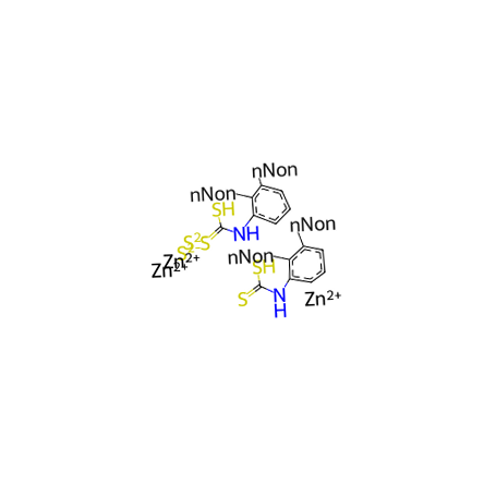 CCCCCCCCCc1cccc(NC(=S)S)c1CCCCCCCCC.CCCCCCCCCc1cccc(NC(=S)S)c1CCCCCCCCC.[S-2].[S-2].[Zn+2].[Zn+2].[Zn+2]